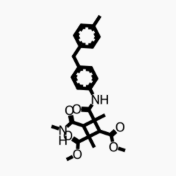 CNC(=O)C1C(C)(C(=O)Nc2ccc(Cc3ccc(C)cc3)cc2)C(C(=O)OC)C1(C)C(=O)OC